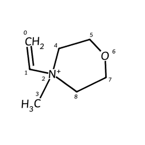 C=C[N+]1(C)CCOCC1